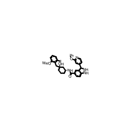 COc1cccc(F)c1C[C@@]1(O)CCC[C@@H](NC(=O)c2ccc3c(c2)C(c2ccnc(OC(C)C)c2)NN3)C1